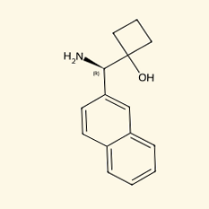 N[C@H](c1ccc2ccccc2c1)C1(O)CCC1